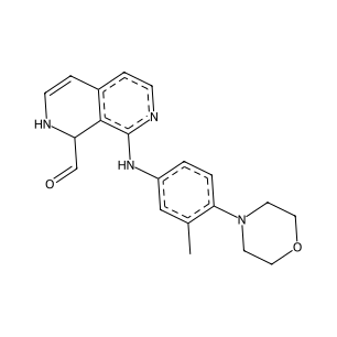 Cc1cc(Nc2nccc3c2C(C=O)NC=C3)ccc1N1CCOCC1